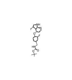 CC(C)(C)OC(=O)NCc1ccc(Oc2ccnc3[nH]cc(I)c23)c(F)c1